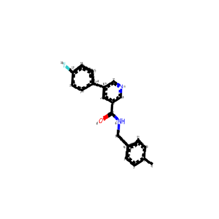 Cc1ccc(CNC(=O)c2cncc(-c3ccc(F)cc3)c2)cc1